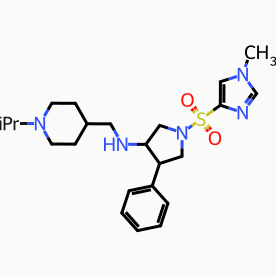 CC(C)N1CCC(CNC2CN(S(=O)(=O)c3cn(C)cn3)CC2c2ccccc2)CC1